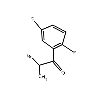 CC(Br)C(=O)c1cc(F)ccc1F